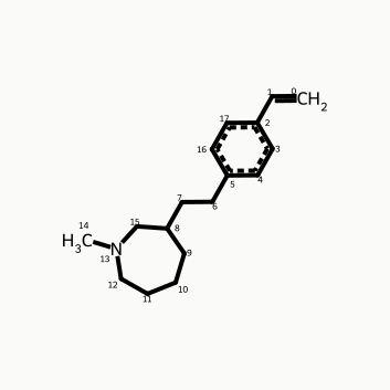 C=Cc1ccc(CCC2CCCCN(C)C2)cc1